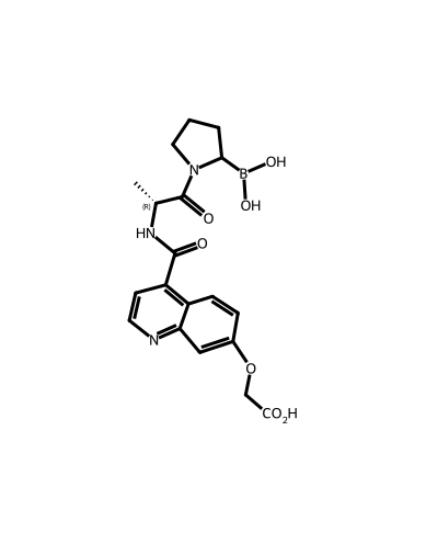 C[C@@H](NC(=O)c1ccnc2cc(OCC(=O)O)ccc12)C(=O)N1CCCC1B(O)O